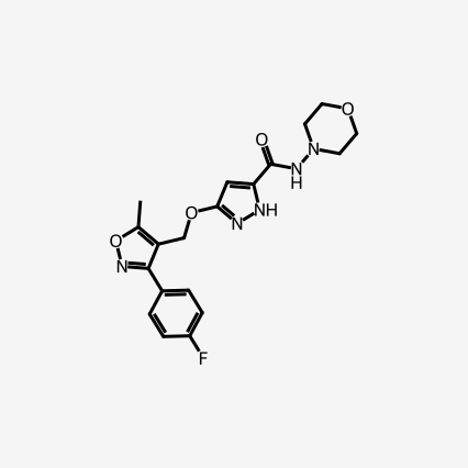 Cc1onc(-c2ccc(F)cc2)c1COc1cc(C(=O)NN2CCOCC2)[nH]n1